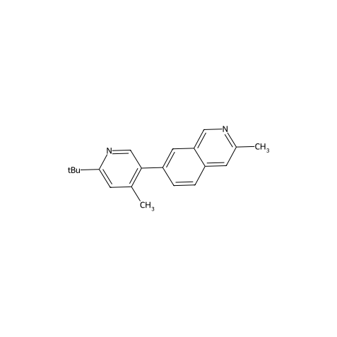 Cc1cc2ccc(-c3cnc(C(C)(C)C)cc3C)cc2cn1